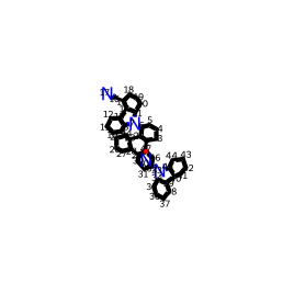 N#Cc1cccc(-n2c3ccccc3c3c(C#N)cccc32)c1-c1ccccc1-c1ccc(-n2c3ccccc3c3ccccc32)cc1